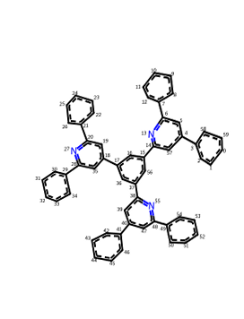 c1ccc(-c2cc(-c3ccccc3)nc(-c3cc(-c4cc(-c5ccccc5)nc(-c5ccccc5)c4)cc(-c4cc(-c5ccccc5)cc(-c5ccccc5)n4)c3)c2)cc1